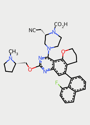 CN1CCC[C@H]1COc1nc(N2CCN(C(=O)O)[C@@H](CC#N)C2)c2c3c(c(-c4cccc5cccc(F)c45)cc2n1)CCCO3